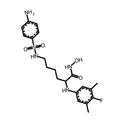 Cc1cc(NC(CCCCNS(=O)(=O)c2ccc(N)cc2)C(=O)NO)cc(C)c1F